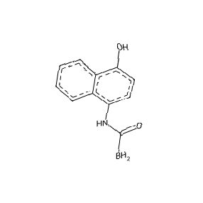 BC(=O)Nc1ccc(O)c2ccccc12